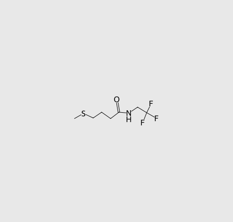 CSCCCC(=O)NCC(F)(F)F